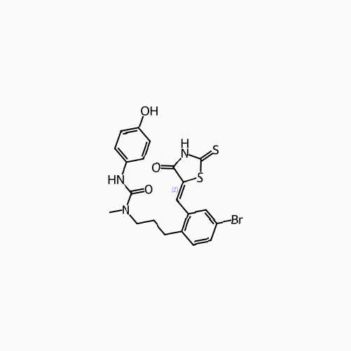 CN(CCCc1ccc(Br)cc1/C=C1\SC(=S)NC1=O)C(=O)Nc1ccc(O)cc1